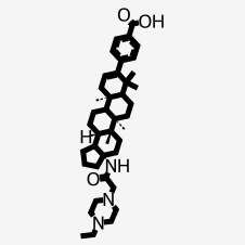 CCN1CCN(CC(=O)N[C@]23CCCC2[C@H]2CCC4[C@@]5(C)CC=C(c6ccc(C(=O)O)cc6)C(C)(C)C5CC[C@@]4(C)[C@]2(C)CC3)CC1